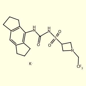 O=C(Nc1c2c(cc3c1CCC3)CCC2)NS(=O)(=O)C1CN(CC(F)(F)F)C1.[K]